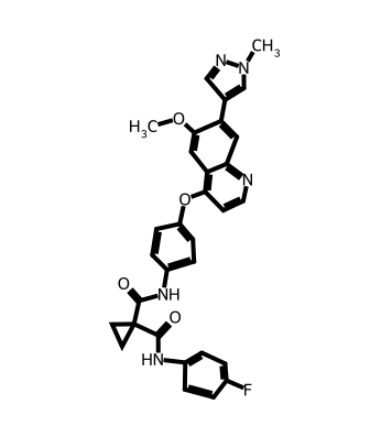 COc1cc2c(Oc3ccc(NC(=O)C4(C(=O)Nc5ccc(F)cc5)CC4)cc3)ccnc2cc1-c1cnn(C)c1